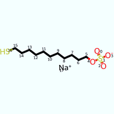 O=S(=O)([O-])OCCCCCCCCCCCS.[Na+]